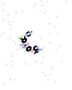 Cc1c[nH]c2nccc(Oc3ccc(NC(=O)Nc4ccc(CN5CCN(C)CC5)c(C(F)(F)F)c4)c(F)c3)c12